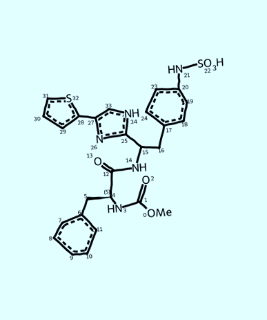 COC(=O)N[C@@H](Cc1ccccc1)C(=O)NC(Cc1ccc(NS(=O)(=O)O)cc1)c1nc(-c2cccs2)c[nH]1